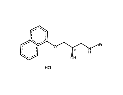 CC(C)NC[C@@H](O)COc1cccc2ccccc12.Cl